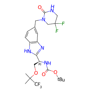 CC(C)(C)OC(=O)N[C@@H](COC(C)(C)C(F)(F)F)c1nc2cc(CN3CC(F)(F)CNC3=O)ccc2[nH]1